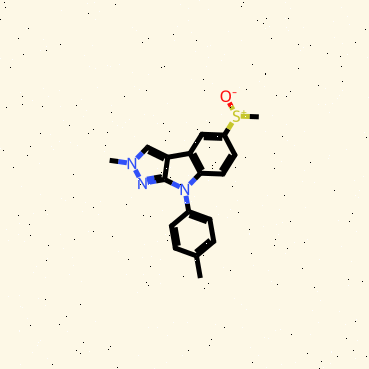 Cc1ccc(-n2c3ccc([S+](C)[O-])cc3c3cn(C)nc32)cc1